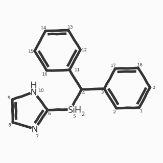 c1ccc(C([SiH2]c2ncc[nH]2)c2ccccc2)cc1